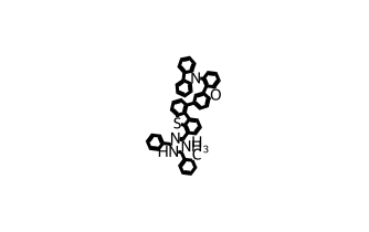 CC1CC=CC=C1C1NC(c2cccc3c2sc2cccc(-c4ccc5oc6cccc(-n7c8ccccc8c8ccccc87)c6c5c4)c23)=NC(c2ccccc2)N1